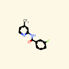 O=C(Nc1cc(C(F)(F)F)ccn1)c1cccc(F)c1